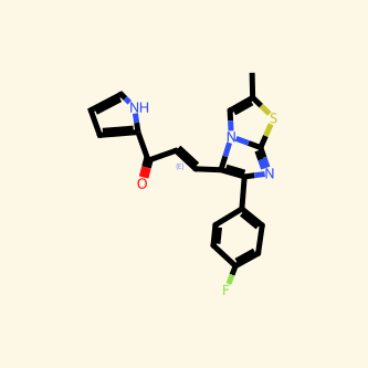 Cc1cn2c(/C=C/C(=O)c3ccc[nH]3)c(-c3ccc(F)cc3)nc2s1